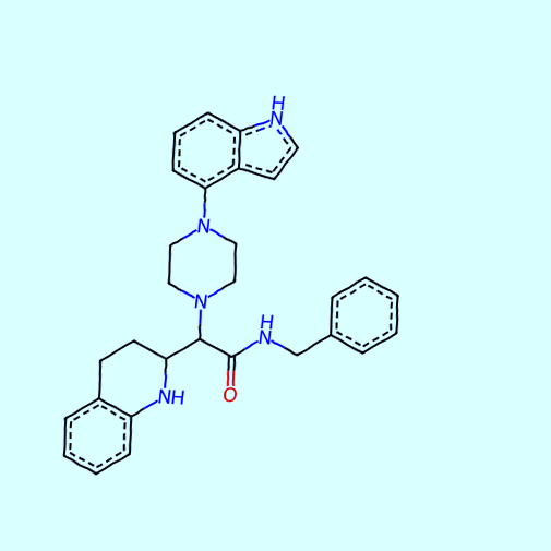 O=C(NCc1ccccc1)C(C1CCc2ccccc2N1)N1CCN(c2cccc3[nH]ccc23)CC1